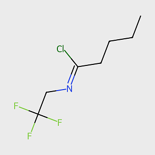 CCCCC(Cl)=NCC(F)(F)F